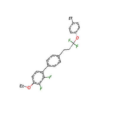 CCOc1ccc(-c2ccc(CCC(F)(F)Oc3ccc(CC)cc3)cc2)c(F)c1F